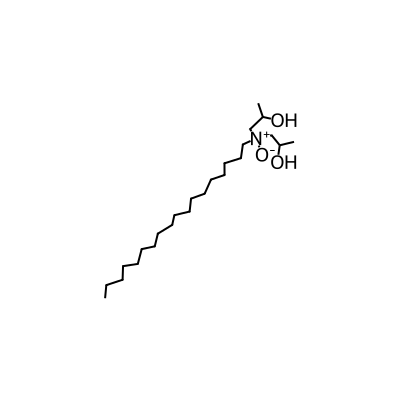 CCCCCCCCCCCCCCCCCC[N+]([O-])(CC(C)O)CC(C)O